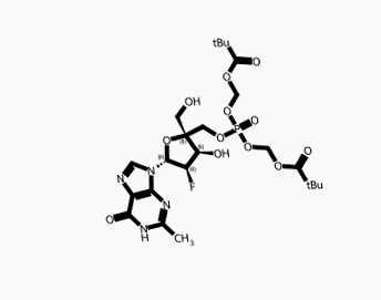 Cc1nc2c(ncn2[C@@H]2O[C@](CO)(COP(=O)(OCOC(=O)C(C)(C)C)OCOC(=O)C(C)(C)C)[C@@H](O)[C@H]2F)c(=O)[nH]1